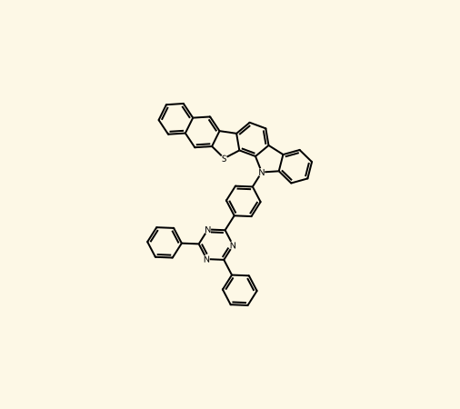 c1ccc(-c2nc(-c3ccccc3)nc(-c3ccc(-n4c5ccccc5c5ccc6c7cc8ccccc8cc7sc6c54)cc3)n2)cc1